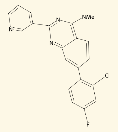 CNc1nc(-c2cccnc2)nc2cc(-c3ccc(F)cc3Cl)ccc12